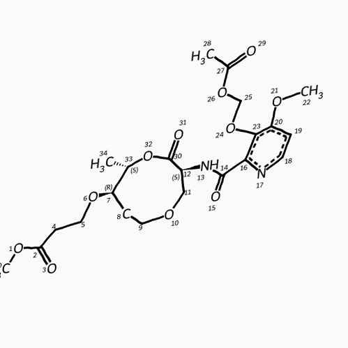 COC(=O)CCO[C@@H]1CCOC[C@H](NC(=O)c2nccc(OC)c2OCOC(C)=O)C(=O)O[C@H]1C